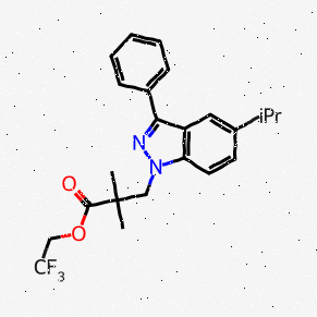 CC(C)c1ccc2c(c1)c(-c1ccccc1)nn2CC(C)(C)C(=O)OCC(F)(F)F